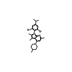 Cc1cc(N2CCC(C)CC2)c2c(C)c(C)n(-c3c(Br)cc(C(C)C)cc3Br)c2n1